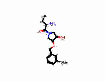 COc1cccc(COC2CN(C(=O)[C@@H](N)CC(C)C)CC2O)c1